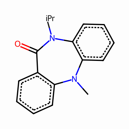 CC(C)N1C(=O)c2ccccc2N(C)c2ccccc21